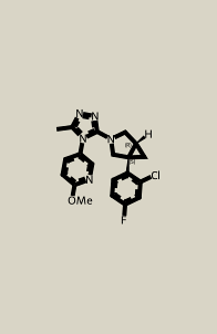 COc1ccc(-n2c(C)nnc2N2C[C@@H]3C[C@]3(c3ccc(F)cc3Cl)C2)cn1